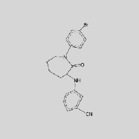 N#Cc1cccc(NC2CCCCN(c3ccc(Br)cc3)C2=O)c1